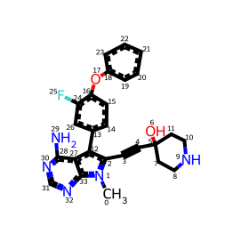 Cn1c(C#CC2(O)CCNCC2)c(-c2ccc(Oc3ccccc3)c(F)c2)c2c(N)ncnc21